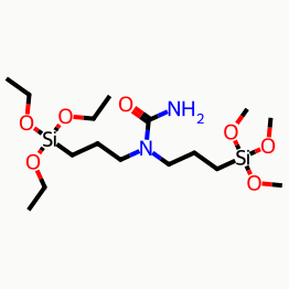 CCO[Si](CCCN(CCC[Si](OC)(OC)OC)C(N)=O)(OCC)OCC